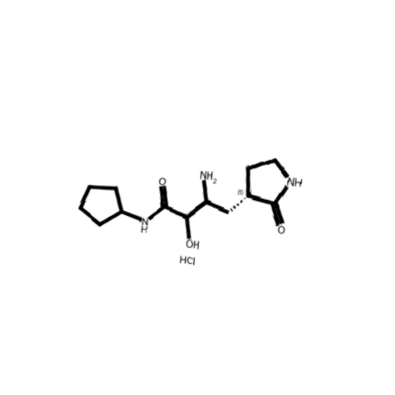 Cl.NC(C[C@@H]1CCNC1=O)C(O)C(=O)NC1CCCC1